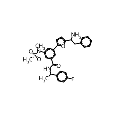 CC(NC(=O)c1cc(-c2ccc(C(N)Cc3ccccc3)o2)cc(N(C)S(C)(=O)=O)c1)c1ccc(F)cc1